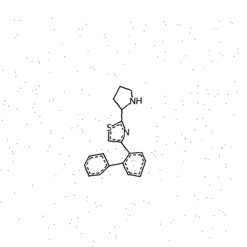 c1ccc(-c2ccccc2-c2csc(C3CCCN3)n2)cc1